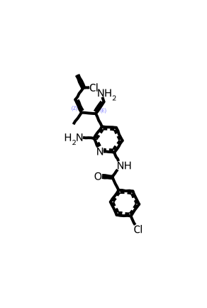 C=C(Cl)/C=C(C)\C(=C/N)c1ccc(NC(=O)c2ccc(Cl)cc2)nc1N